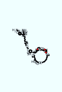 CC[C@@H]1/C=C(\C)[C@@H](O)[C@@H](OC)C(=O)CCC/C=C/C=C/C=C/[C@@H](OC)C[C@@H]2CC[C@@H](C)[C@@](O)(O2)C(=O)C(=O)N2CCCC[C@H]2C(=O)O[C@H]([C@H](C)C[C@@H]2CC[C@@H](OCCOCc3cn(CCCCn4nc(-c5ccc6oc(N)nc6c5)c5c(ON)ncnc54)nn3)[C@H](OS)C2)CC1=O